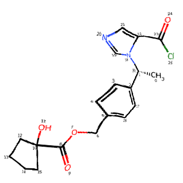 C[C@H](c1ccc(COC(=O)C2(O)CCCC2)cc1)n1cncc1C(=O)Cl